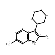 Cc1ccc2c(C3CCCCC3)c(Br)[nH]c2c1